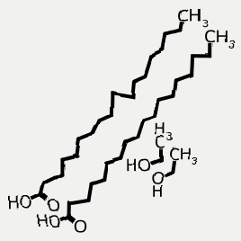 CCCCCCCCCCCCCCCCCC(=O)O.CCCCCCCCCCCCCCCCCC(=O)O.CCO.CCO